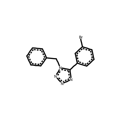 Brc1cccc(-c2nnnn2Cc2ccccc2)c1